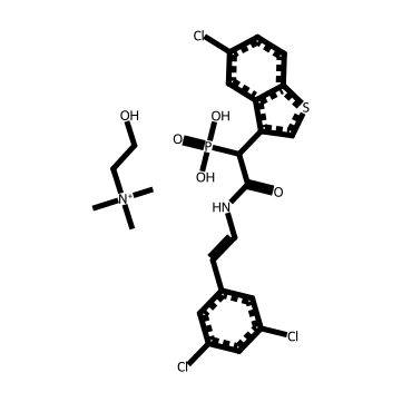 C[N+](C)(C)CCO.O=C(NC=Cc1cc(Cl)cc(Cl)c1)C(c1csc2ccc(Cl)cc12)P(=O)(O)O